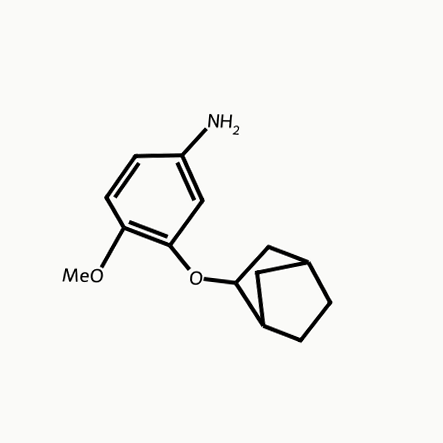 COc1ccc(N)cc1OC1CC2CCC1C2